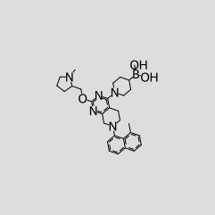 Cc1cccc2cccc(N3CCc4c(nc(OCC5CCCN5C)nc4N4CCC(B(O)O)CC4)C3)c12